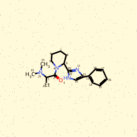 CCC(C(=O)N1CCCCC1c1nc(-c2ccccc2)c[nH]1)N(C)C